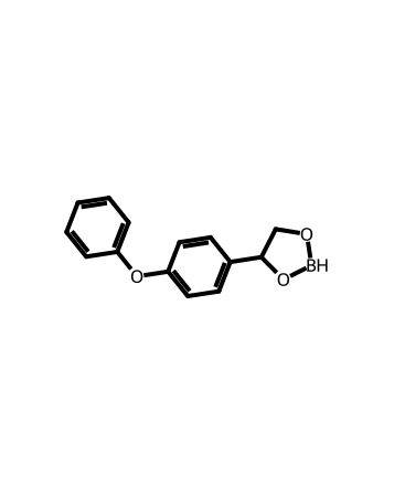 B1OCC(c2ccc(Oc3ccccc3)cc2)O1